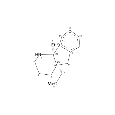 CC[C@@]12NCCC[C@]1(COC)Cc1ccccc12